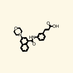 O=C(O)C=Cc1cccc(NC(=O)c2cc(N3CCOCC3)cc3ccccc23)c1